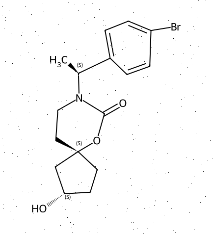 C[C@@H](c1ccc(Br)cc1)N1CC[C@]2(CC[C@H](O)C2)OC1=O